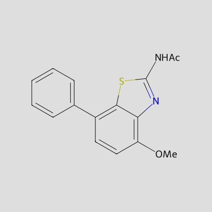 COc1ccc(-c2ccccc2)c2sc(NC(C)=O)nc12